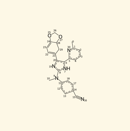 Cc1cccc(-c2[nH]c(N(C)c3ccc(C#N)cc3)nc2C2=CC=C3OCOC3C2)n1